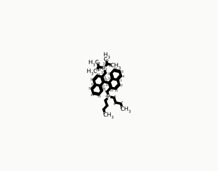 CCCCP(CCCC)Cc1ccc2ccccc2c1-c1c(CP(C(C)C)C(C)C)ccc2ccccc12